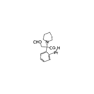 CC(C)c1ccccc1C(CC=O)(C(=O)O)N1CCCCC1